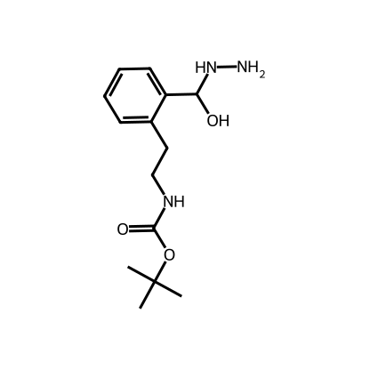 CC(C)(C)OC(=O)NCCc1ccccc1C(O)NN